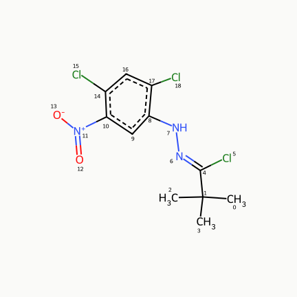 CC(C)(C)C(Cl)=NNc1cc([N+](=O)[O-])c(Cl)cc1Cl